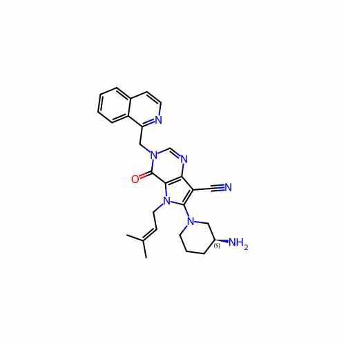 CC(C)=CCn1c(N2CCC[C@H](N)C2)c(C#N)c2ncn(Cc3nccc4ccccc34)c(=O)c21